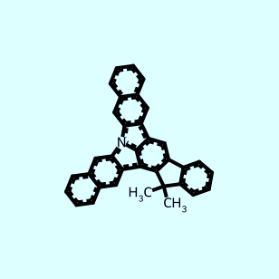 CC1(C)c2ccccc2-c2cc3c4cc5ccccc5cc4n4c5cc6ccccc6cc5c(c21)c34